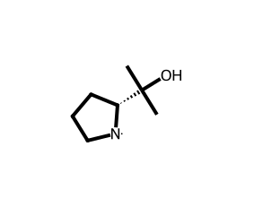 CC(C)(O)[C@H]1CCC[N]1